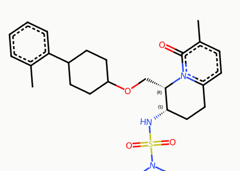 Cc1ccccc1C1CCC(OC[C@H]2[C@@H](NS(=O)(=O)N(C)C)CCc3ccc(C)c(=O)n32)CC1